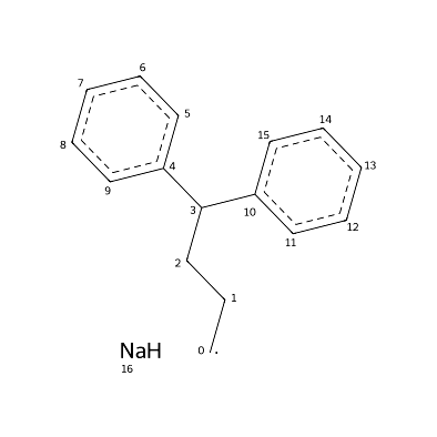 [CH2]CCC(c1ccccc1)c1ccccc1.[NaH]